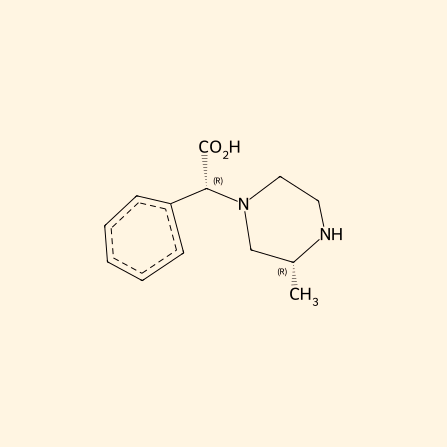 C[C@@H]1CN([C@@H](C(=O)O)c2ccccc2)CCN1